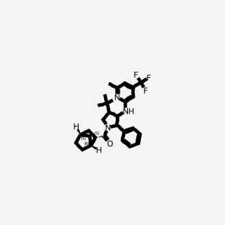 Cc1cc(C(F)(F)F)cc(NC2C(c3ccccc3)N(C(=O)[C@H]3C[C@H]4CC[C@@H]3C4)CC2C(C)(C)C)n1